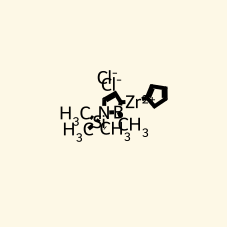 CB1[CH]([Zr+2][C]2=CC=CC2)C=CN1[Si](C)(C)C.[Cl-].[Cl-]